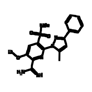 CCOc1cc(S(=O)(=O)NC)c(-n2nc(-c3ccccc3)cc2C)nc1C(=N)N